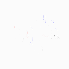 COc1cc(NC2CCN(c3cc(=O)c4cc(C)cc(C(C)Nc5ccccc5CO)c4o3)CC2)ncn1